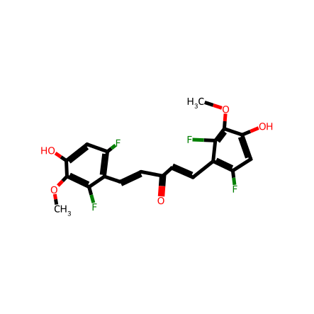 COc1c(O)cc(F)c(/C=C/C(=O)/C=C/c2c(F)cc(O)c(OC)c2F)c1F